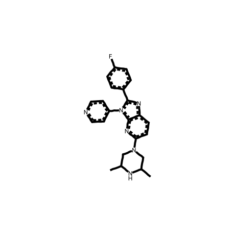 CC1CN(c2ccc3nc(-c4ccc(F)cc4)n(-c4ccncc4)c3n2)CC(C)N1